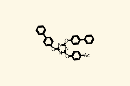 CC(=O)c1ccc(Oc2nc(Oc3ccc(-c4ccccc4)cc3)nc(Oc3ccc(-c4ccccc4)cc3)n2)cc1